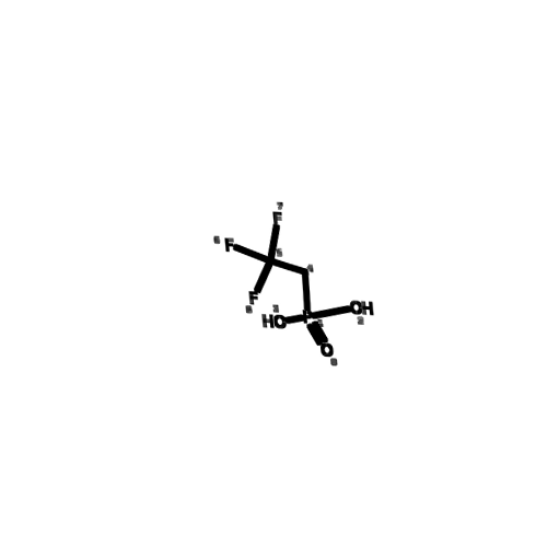 O=P(O)(O)CC(F)(F)F